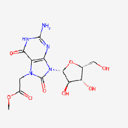 COC(=O)Cn1c(=O)n([C@@H]2O[C@H](CO)[C@H](O)[C@H]2O)c2nc(N)[nH]c(=O)c21